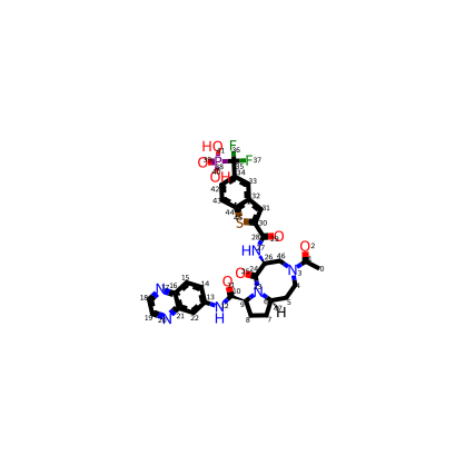 CC(=O)N1CC[C@H]2CC[C@@H](C(=O)Nc3ccc4nccnc4c3)N2C(=O)[C@@H](NC(=O)c2cc3cc(C(F)(F)P(=O)(O)O)ccc3s2)C1